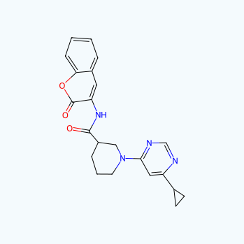 O=C(Nc1cc2ccccc2oc1=O)C1CCCN(c2cc(C3CC3)ncn2)C1